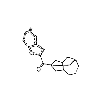 O=C(c1cc2cnccc2o1)C12CC3CCCC(C1)C(C3)C2